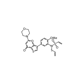 C=CSN(c1cc(-c2csc3c(=O)cc(N4CCOCC4)oc23)ccc1OC)S(=O)(=O)C=C